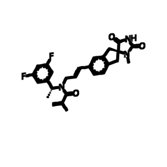 C=C(C)C(=O)N(C/C=C/c1ccc2c(c1)C[C@@]1(C2)C(=O)NC(=O)N1C)[C@H](C)c1cc(F)cc(F)c1